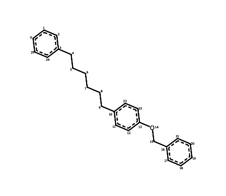 c1ccc(CCCCCCc2ccc(OCc3ccccc3)cc2)cc1